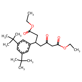 CCOC(=O)CC(=O)CC(CC(=O)OCC)c1cc(C(C)(C)C)cc(C(C)(C)C)c1